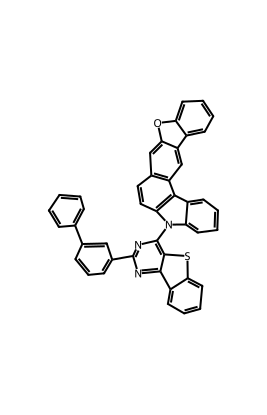 c1ccc(-c2cccc(-c3nc(-n4c5ccccc5c5c6cc7c(cc6ccc54)oc4ccccc47)c4sc5ccccc5c4n3)c2)cc1